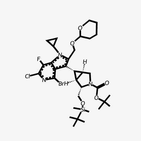 CC(C)(C)OC(=O)N1C[C@@H]2[C@@H](c3c(COC4CCCCO4)n(C4CC4)c4c(F)c(Cl)nc(Br)c34)[C@@H]2[C@H]1CO[Si](C)(C)C(C)(C)C